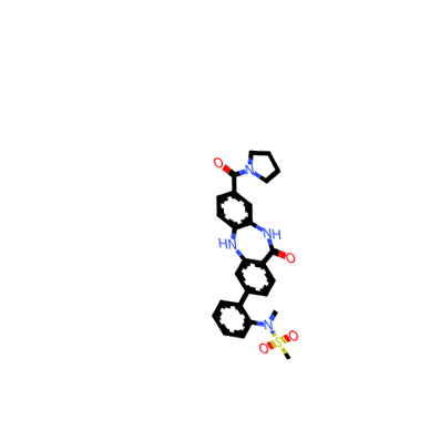 CN(c1ccccc1-c1ccc2c(c1)Nc1ccc(C(=O)N3CCCC3)cc1NC2=O)S(C)(=O)=O